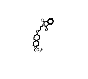 O=C(O)N1CCC2(CCC(OCCN3C(=O)c4ccccc4C3=O)CC2)CC1